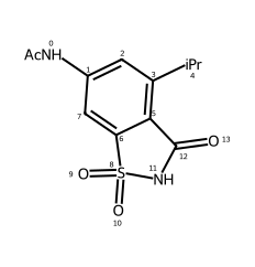 CC(=O)Nc1cc(C(C)C)c2c(c1)S(=O)(=O)NC2=O